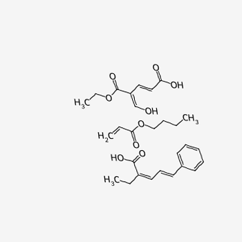 C=CC(=O)OCCCC.CCC(=CC=Cc1ccccc1)C(=O)O.CCOC(=O)C(C=CC(=O)O)=CO